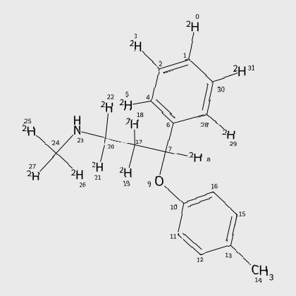 [2H]c1c([2H])c([2H])c(C([2H])(Oc2ccc(C)cc2)C([2H])([2H])C([2H])([2H])NC([2H])([2H])[2H])c([2H])c1[2H]